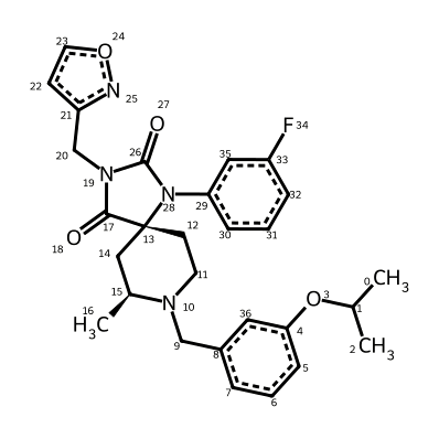 CC(C)Oc1cccc(CN2CC[C@@]3(C[C@@H]2C)C(=O)N(Cc2ccon2)C(=O)N3c2cccc(F)c2)c1